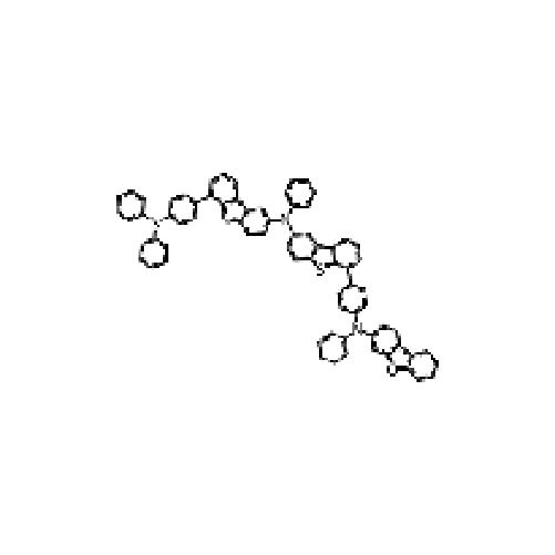 C1=CC(N(c2ccc(-c3cccc4c3sc3ccc(N(c5ccccc5)c5ccc6sc7c(-c8ccc(N(c9ccccc9)c9ccccc9)cc8)cccc7c6c5)cc34)cc2)c2ccc3c(c2)oc2ccccc23)=CCC1